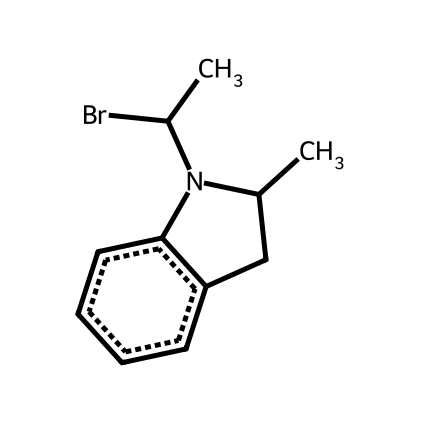 CC(Br)N1c2ccccc2CC1C